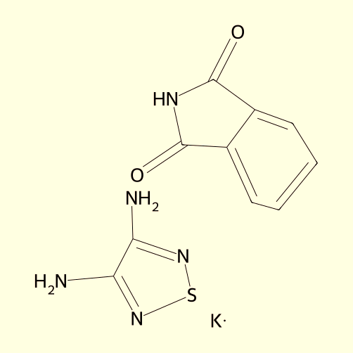 Nc1nsnc1N.O=C1NC(=O)c2ccccc21.[K]